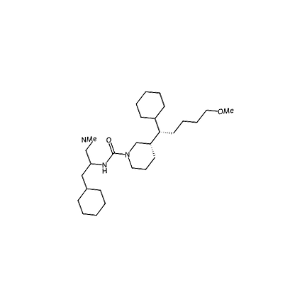 CNCC(CC1CCCCC1)NC(=O)N1CCC[C@@H]([C@@H](CCCCOC)C2CCCCC2)C1